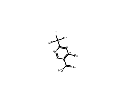 O=C(O)c1cnc(C(F)(F)F)cc1F